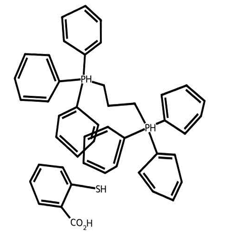 O=C(O)c1ccccc1S.c1ccc([PH](CCC[PH](c2ccccc2)(c2ccccc2)c2ccccc2)(c2ccccc2)c2ccccc2)cc1